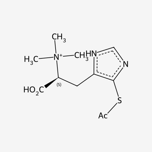 CC(=O)Sc1nc[nH]c1C[C@@H](C(=O)O)[N+](C)(C)C